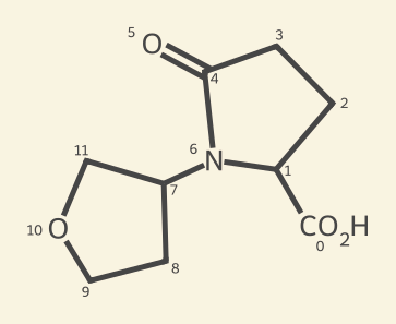 O=C(O)C1CCC(=O)N1C1CCOC1